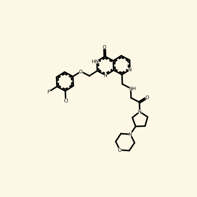 O=C(CNCc1nccc2c(=O)[nH]c(COc3ccc(F)c(Cl)c3)nc12)N1CCC(N2CCOCC2)C1